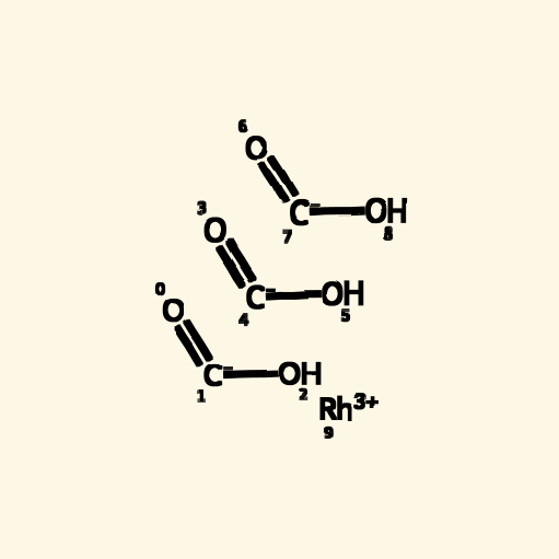 O=[C-]O.O=[C-]O.O=[C-]O.[Rh+3]